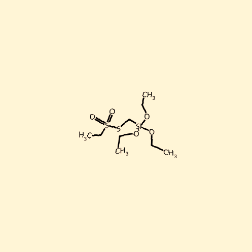 CCO[Si](CSS(=O)(=O)CC)(OCC)OCC